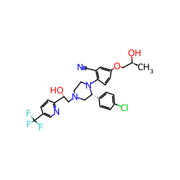 C[C@H](O)COc1ccc(N2CCN(C[C@@H](O)c3ccc(C(F)(F)F)cn3)C[C@H]2c2ccc(Cl)cc2)c(C#N)c1